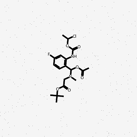 CC(=O)OC(c1ccc(F)cc1NC(=O)OC(C)Cl)N(C)CC(=O)OC(C)(C)C